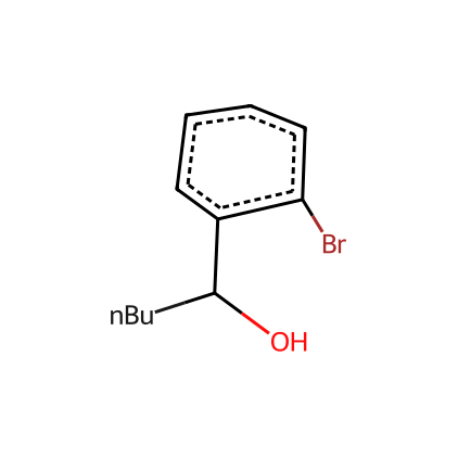 CCCCC(O)c1ccccc1Br